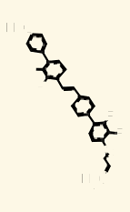 C=CCOc1ccc(-c2ccc(/C=C/c3ccc(-c4ccc(C)cc4)c(F)c3F)cc2)c(F)c1F